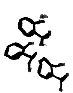 O=C([O-])c1ccccc1O.O=C([O-])c1ccccc1O.O=C([O-])c1ccccc1O.[Fe+3]